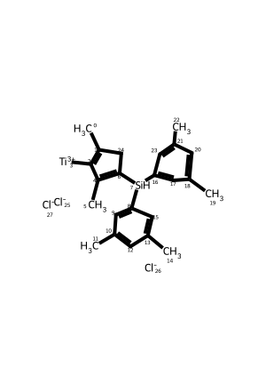 CC1=[C]([Ti+3])C(C)=C([SiH](c2cc(C)cc(C)c2)c2cc(C)cc(C)c2)C1.[Cl-].[Cl-].[Cl-]